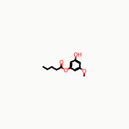 CCCCC(=O)Oc1cc(O)cc(OC)c1